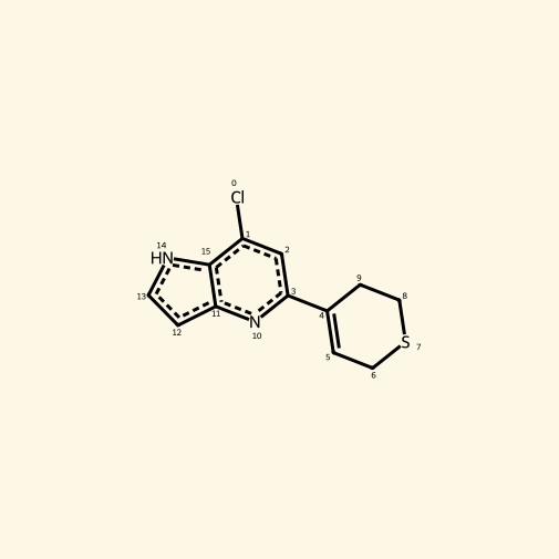 Clc1cc(C2=CCSCC2)nc2cc[nH]c12